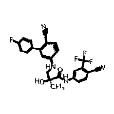 C[C@](O)(CNc1ccc(C#N)c(-c2ccc(F)cc2)c1)C(=O)Nc1ccc(C#N)c(C(F)(F)F)c1